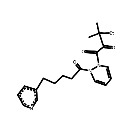 CCC(C)(C)C(=O)C(=O)N1C=CC=CN1C(=O)CCCCc1cccnc1